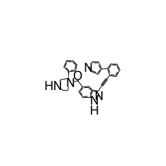 O=C(c1ccc2[nH]nc(C#Cc3ccccc3-c3ccncc3)c2c1)N1CCNC[C@H]1c1ccccc1